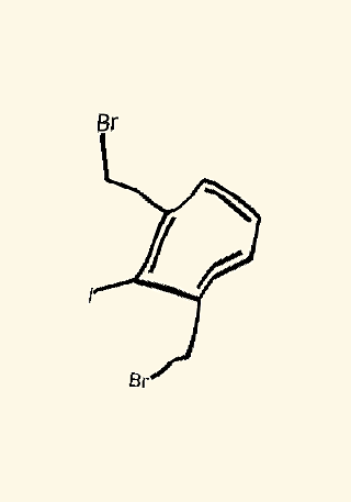 BrCc1cccc(CBr)c1I